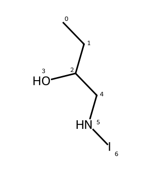 CCC(O)CNI